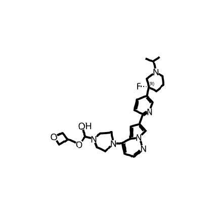 CC(C)N1CCC[C@@](F)(c2ccc(-c3cc4c(N5CCN(C(O)OC6COC6)CC5)ccnn4c3)nc2)C1